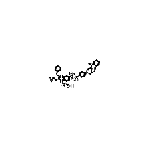 CSc1ccccc1CN1CCN(c2ccc(C(=O)NS(=O)(=O)c3ccc(N[C@H](CCN(C)C)CSc4ccccc4)c([N+](=O)O)c3)cc2)CC1